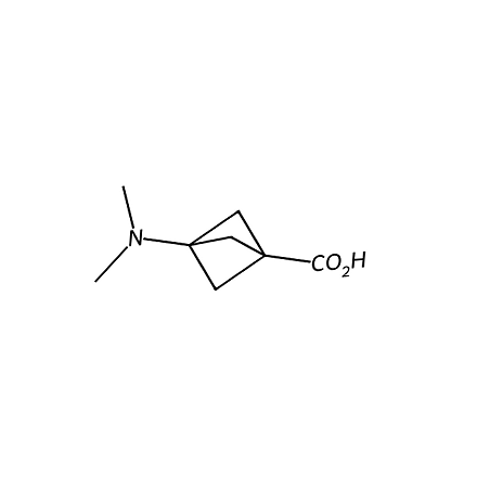 CN(C)C12CC(C(=O)O)(C1)C2